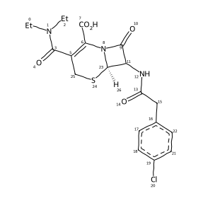 CCN(CC)C(=O)C1=C(C(=O)O)N2C(=O)C(NC(=O)Cc3ccc(Cl)cc3)[C@H]2SC1